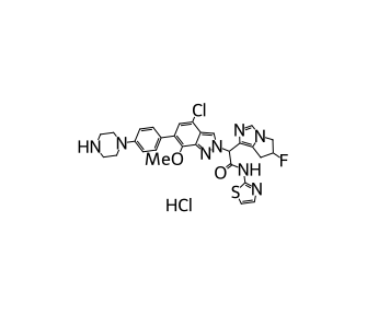 COc1c(-c2ccc(N3CCNCC3)cc2)cc(Cl)c2cn(C(C(=O)Nc3nccs3)c3ncn4c3CC(F)C4)nc12.Cl